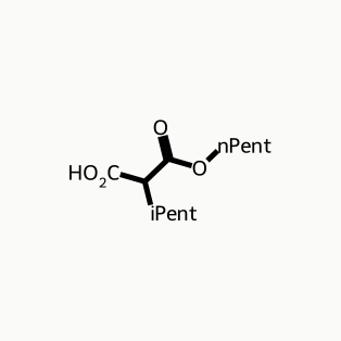 CCCCCOC(=O)C(C(=O)O)C(C)CCC